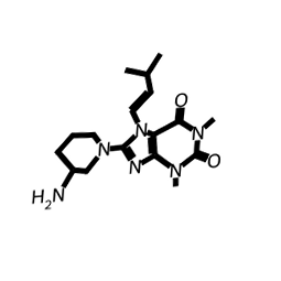 CC(C)/C=C/n1c(N2CCCC(N)C2)nc2c1c(=O)n(C)c(=O)n2C